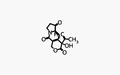 C=C(C)[C@]1(O)C(=O)OCc2c1cc1n(c2=O)CCC1=O